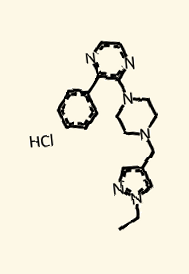 CCn1cc(CN2CCN(c3nccnc3-c3ccccc3)CC2)cn1.Cl